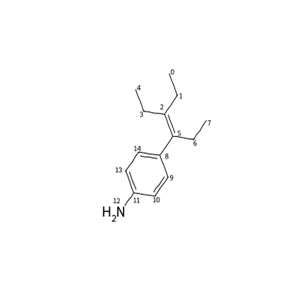 CCC(CC)=C(CC)c1ccc(N)cc1